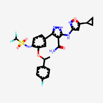 CC(Oc1cc(-c2n[nH]c(Nc3cc(C4CC4)on3)c2C(N)=O)ccc1NS(=O)(=O)C(F)F)c1ccc(F)cc1